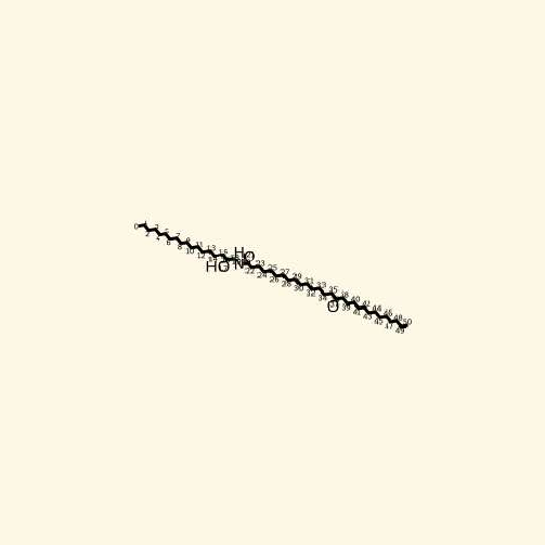 CCCCCCCCCCCCCCCC[C@@H](O)CNC(=O)CCCCCCCCCCCCCCC(=O)CCCCCCCCCCCCC